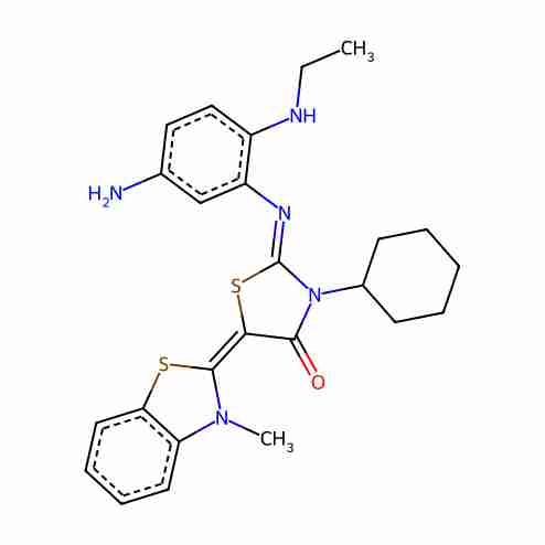 CCNc1ccc(N)cc1N=C1S/C(=C2\Sc3ccccc3N2C)C(=O)N1C1CCCCC1